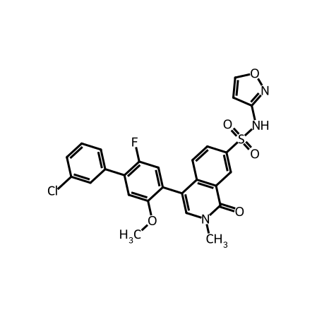 COc1cc(-c2cccc(Cl)c2)c(F)cc1-c1cn(C)c(=O)c2cc(S(=O)(=O)Nc3ccon3)ccc12